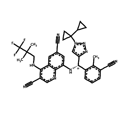 Cc1c(C#N)cccc1[C@H](Nc1cc(C#N)cc2c(NCC(C)(C)C(F)(F)F)c(C#N)cnc12)c1cn(C2(C3CC3)CC2)nn1